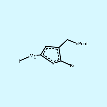 CCCCCCc1c[c]([Mg][I])sc1Br